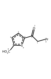 CC(C)CC(=O)c1ccc(C(=O)O)s1